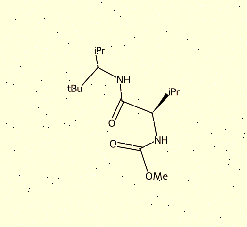 COC(=O)N[C@@H](C(=O)NC(C(C)C)C(C)(C)C)C(C)C